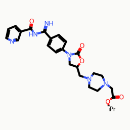 CC(C)OC(=O)CN1CCN(CC2CN(c3ccc(C(=N)NC(=O)c4cccnc4)cc3)C(=O)O2)CC1